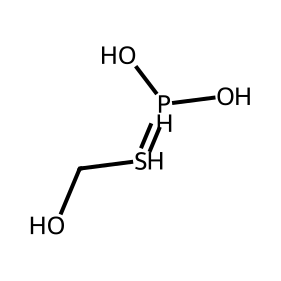 OC[SH]=[PH](O)O